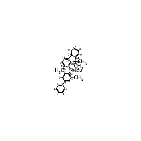 Cc1cc(-c2ccccc2)ccc1N(c1c(C)ccc2c1C(C)(C)c1ccccc1-2)C(C)(C)C